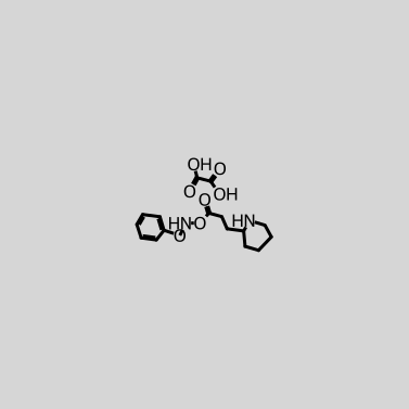 O=C(CCC1CCCCN1)ONOc1ccccc1.O=C(O)C(=O)O